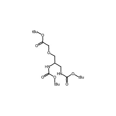 CC(C)(C)OC(=O)COCC(CNC(=O)OC(C)(C)C)NC(=O)OC(C)(C)C